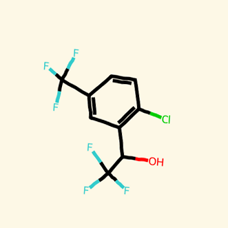 OC(c1cc(C(F)(F)F)ccc1Cl)C(F)(F)F